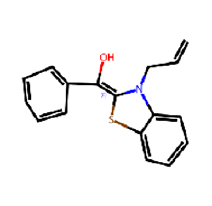 C=CCN1/C(=C(\O)c2ccccc2)Sc2ccccc21